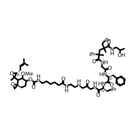 COC1C(OC(=O)NCCCCCC(=O)NCCNCC(=O)CNC(=O)[C@H](CC(C)C)NC(=O)[C@H](Cc2ccccc2)NC(=O)CNC(=O)C(C)(CC(C)(CC(C)C)C(=O)NCC(C)O)C(C)C)CC[C@]2(CO2)C1C1(C)O[C@@H]1CC=C(C)C